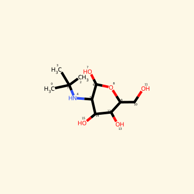 CC(C)(C)NC1C(O)OC(CO)C(O)C1O